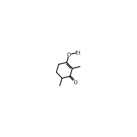 CCOC1=C(C)C(=O)C(C)CC1